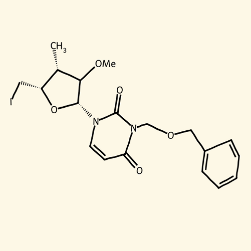 COC1[C@@H](C)[C@@H](CI)O[C@H]1n1ccc(=O)n(COCc2ccccc2)c1=O